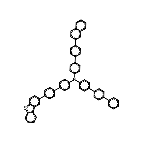 c1ccc(-c2ccc(-c3ccc(N(c4ccc(-c5ccc(-c6ccc7ccccc7c6)cc5)cc4)c4ccc(-c5ccc(-c6ccc7sc8ccccc8c7c6)cc5)cc4)cc3)cc2)cc1